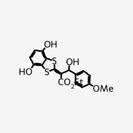 CCOC(=O)C(=C1Sc2c(O)ccc(O)c2S1)C(O)c1ccc(OC)cc1